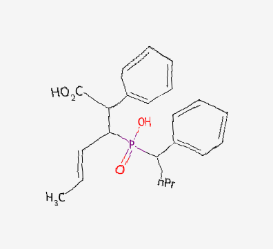 CC=CC(C(C(=O)O)c1ccccc1)P(=O)(O)C(CCC)c1ccccc1